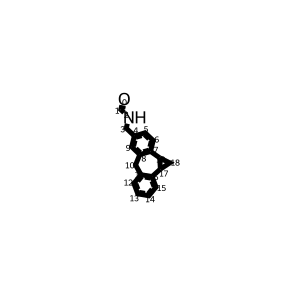 O=CNCc1ccc2c(c1)Cc1ccccc1C1CC21